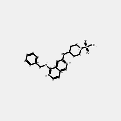 CS(=O)(=O)N1CCC(Nc2cc3c(OCc4ccccc4)nccc3cn2)CC1